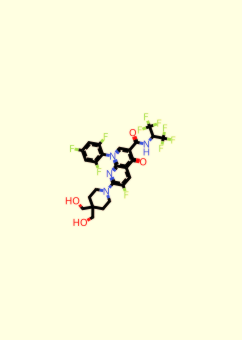 O=C(NC(C(F)(F)F)C(F)(F)F)c1cn(-c2c(F)cc(F)cc2F)c2nc(N3CCC(CO)(CO)CC3)c(F)cc2c1=O